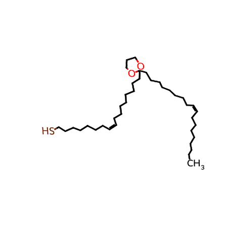 CCCCCCCC/C=C\CCCCCCCCC1(CCCCCCCC/C=C\CCCCCCCS)OCCCO1